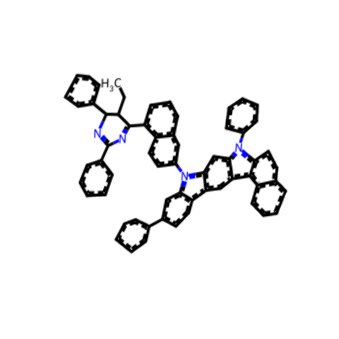 CCC1C(c2cccc3cc(-n4c5cc(-c6ccccc6)ccc5c5cc6c7c8ccccc8ccc7n(-c7ccccc7)c6cc54)ccc23)=NC(c2ccccc2)=NC1c1ccccc1